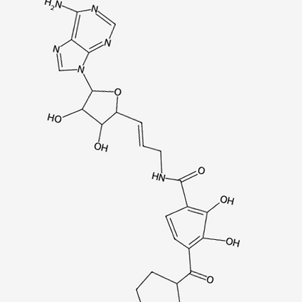 Nc1ncnc2c1ncn2C1OC(C=CCNC(=O)c2ccc(C(=O)C3CCCCC3)c(O)c2O)C(O)C1O